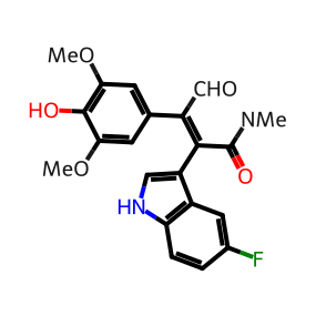 CNC(=O)/C(=C(\C=O)c1cc(OC)c(O)c(OC)c1)c1c[nH]c2ccc(F)cc12